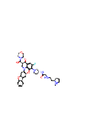 CN1CCCC1CCNCC(=O)N[C@@H]1CCN(c2c(F)cc3c(=O)c(C(=O)N4CCOCC4)cn4c3c2Oc2cc3c(cc2-4)oc2ccccc23)C1